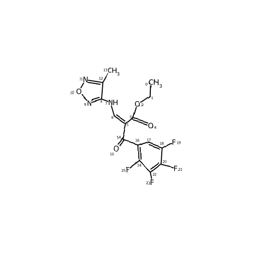 CCOC(=O)/C(=C\Nc1nonc1C)C(=O)c1cc(F)c(F)c(F)c1F